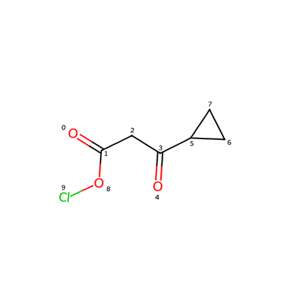 O=C(CC(=O)C1CC1)OCl